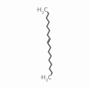 [CH2]CCCCCCC=CCCCCCCC[CH2]